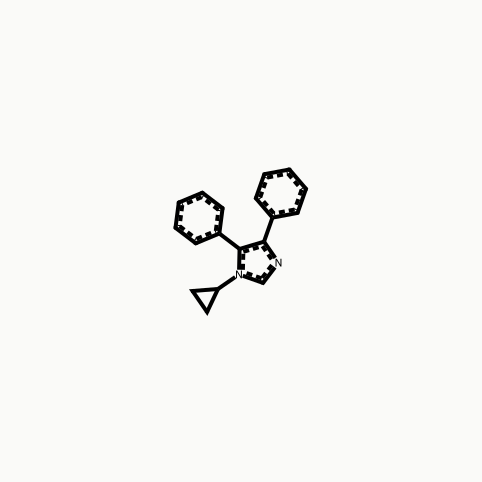 c1ccc(-c2ncn(C3CC3)c2-c2ccccc2)cc1